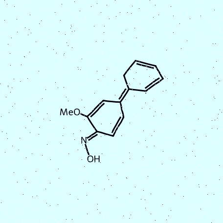 COC1=CC(=C2[C]=CC=CC2)C=CC1=NO